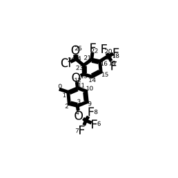 Cc1cc(OC(F)(F)F)ccc1Oc1ccc(C(F)(F)F)c(F)c1C(=O)Cl